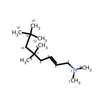 CN(C)C/C=C/CC(C)(C)CC(C)(C)C